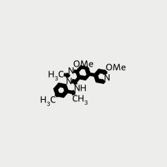 COC1=C(c2ccnc(OC)c2)C=C2C(NC(C)c3cccc(C)c3)=NC(C)=NC2C1